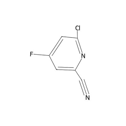 N#Cc1cc(F)cc(Cl)n1